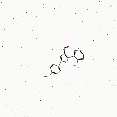 COc1ccc(-c2cc(C=O)c(-c3ccccc3[N+](=O)[O-])[nH]2)cc1